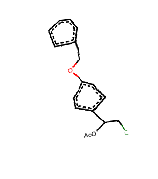 CC(=O)O[C](CCl)c1ccc(OCc2ccccc2)cc1